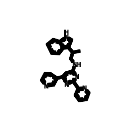 CC(CNc1cc(-c2cccnc2)nc(-c2ccccn2)n1)c1c[nH]c2ccccc12